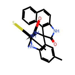 Cc1ccc2c(c1)C1(C(=O)Nc3ccc4ccccc4c31)c1c([nH]c(=S)[nH]c1=O)N2